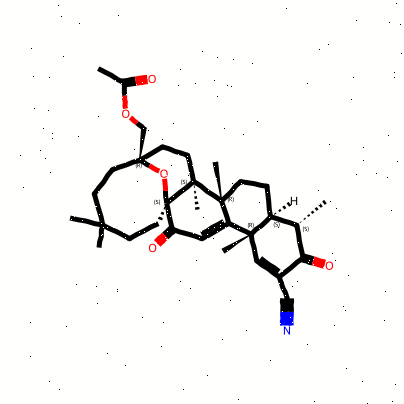 CC(=O)OC[C@]12CCC(C)(C)CC[C@@]3(O1)C(=O)C=C1[C@@]4(C)C=C(C#N)C(=O)[C@@H](C)[C@@H]4CC[C@@]1(C)[C@]3(C)CC2